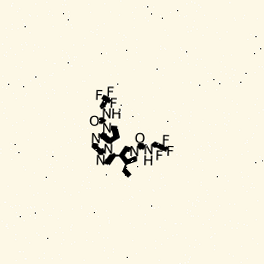 CC[C@@H]1CN(C(=O)NCC(F)(F)F)C[C@@H]1c1cnc2cnc3c(ccn3C(=O)NCC(F)(F)F)n12